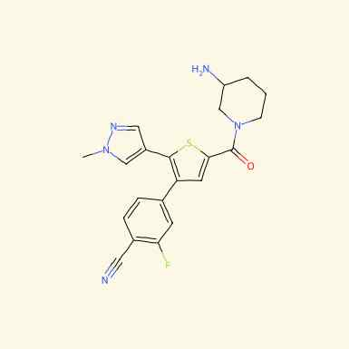 Cn1cc(-c2sc(C(=O)N3CCCC(N)C3)cc2-c2ccc(C#N)c(F)c2)cn1